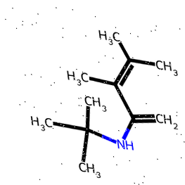 C=C(NC(C)(C)C)C(C)=C(C)C